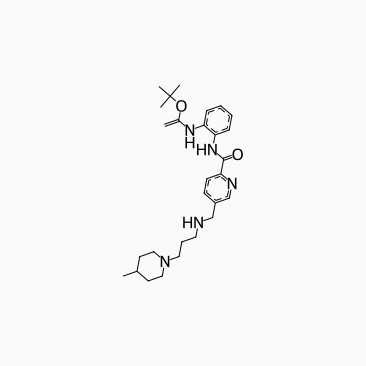 C=C(Nc1ccccc1NC(=O)c1ccc(CNCCCN2CCC(C)CC2)cn1)OC(C)(C)C